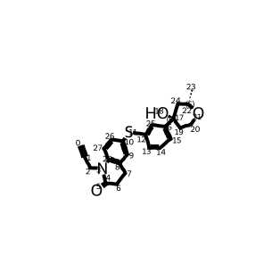 C#CCN1C(=O)CCc2cc(Sc3cccc([C@@]4(O)CCO[C@@H](C)C4)c3)ccc21